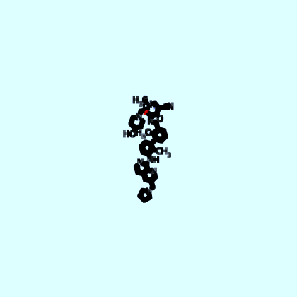 Cc1c(Nc2nccc3cc(CN4CCCC4)cnc23)cccc1-c1cccc(-c2nc(C=O)c(/C(C#N)=C\N(C)CCN3CCC(O)CC3)o2)c1C